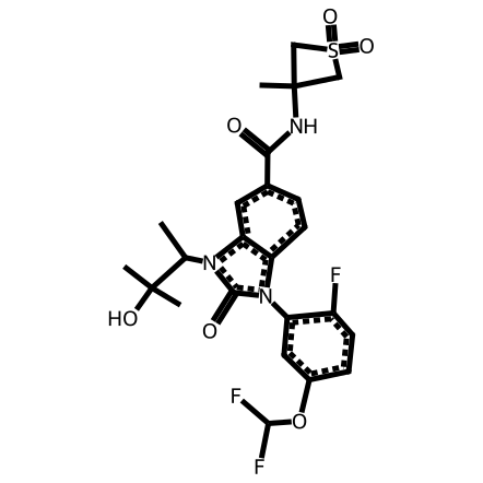 CC(n1c(=O)n(-c2cc(OC(F)F)ccc2F)c2ccc(C(=O)NC3(C)CS(=O)(=O)C3)cc21)C(C)(C)O